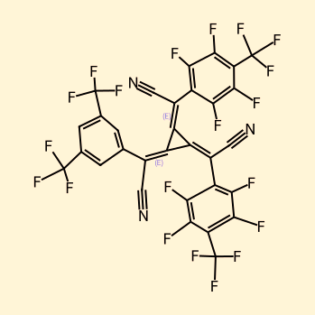 N#CC(=C1C(=C(\C#N)c2cc(C(F)(F)F)cc(C(F)(F)F)c2)/C1=C(\C#N)c1c(F)c(F)c(C(F)(F)F)c(F)c1F)c1c(F)c(F)c(C(F)(F)F)c(F)c1F